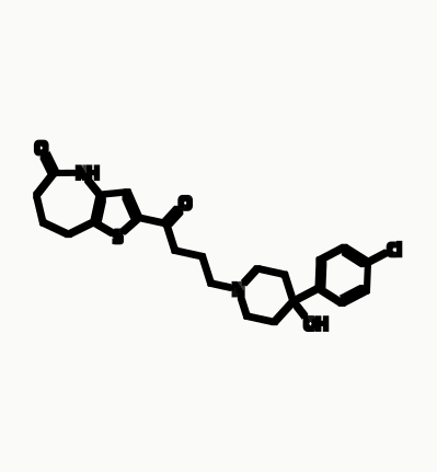 O=C1CCCc2sc(C(=O)CCCN3CCC(O)(c4ccc(Cl)cc4)CC3)cc2N1